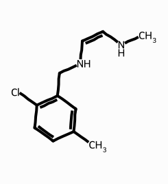 CN/C=C\NCc1cc(C)ccc1Cl